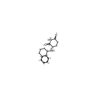 O=C1CCC(NC2CCCc3ccccc32)C(=O)N1